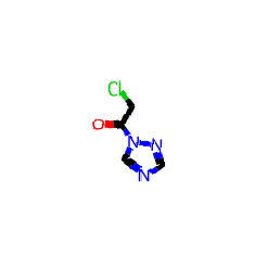 O=C(CCl)n1cncn1